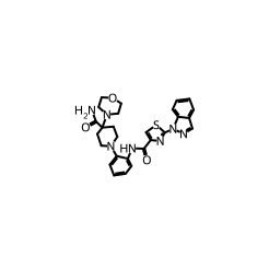 NC(=O)C1(N2CCOCC2)CCN(c2ccccc2NC(=O)c2csc(-n3ncc4ccccc43)n2)CC1